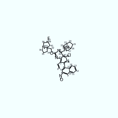 C=Cc1c(-c2cc(N=O)cc3ccccc23)nc(Cl)c2c(N3CC4CCC(C3)N4)nc(OC[C@@]34CCCN3C[C@H](F)C4)nc12